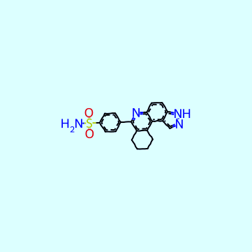 NS(=O)(=O)c1ccc(-c2nc3ccc4[nH]ncc4c3c3c2CCCC3)cc1